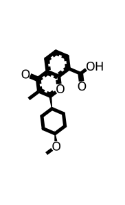 CO[C@H]1CC[C@@H](c2oc3c(C(=O)O)cccc3c(=O)c2C)CC1